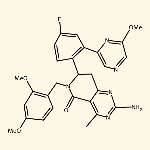 COc1ccc(CN2C(=O)c3c(C)nc(N)nc3CC2c2ccc(F)cc2-c2cncc(OC)n2)c(OC)c1